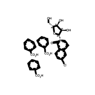 O=C(O)c1ccccc1.O=C(O)c1ccccc1.O=C(O)c1ccccc1.O=c1c2ccc(Cl)cc2ccn1[C@@H]1O[C@H](CO)[C@@H](O)[C@H]1O